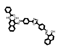 O=C(Nc1cc2ccccc2c(N=Nc2ccc(-c3nnc(-c4ccc(N=Nc5c(O)ccc6ccccc56)cc4)o3)cc2)c1O)c1ccccc1